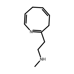 CNCC/C1=N/C=CC/C=C\C1